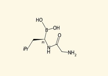 CC(C)C[C@H](NC(=O)CN)B(O)O